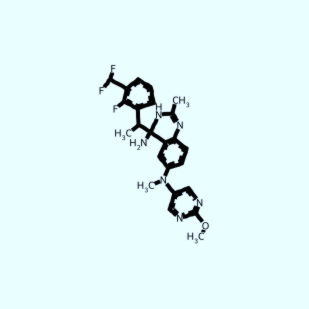 COc1ncc(N(C)c2ccc3c(c2)C(N)(C(C)c2cccc(C(F)F)c2F)NC(C)=N3)cn1